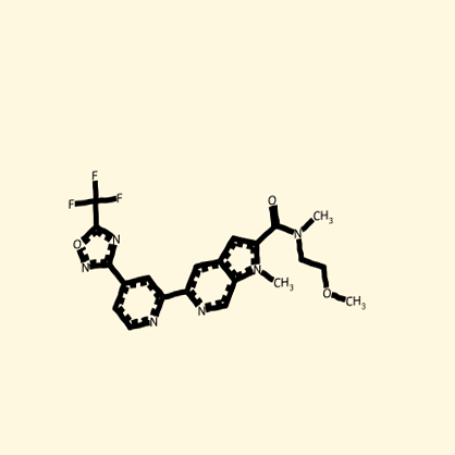 COCCN(C)C(=O)c1cc2cc(-c3cc(-c4noc(C(F)(F)F)n4)ccn3)ncc2n1C